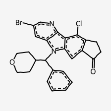 O=C1CCc2c1cc1c(c2Cl)c2ncc(Br)cc2n1C(c1ccccc1)C1CCOCC1